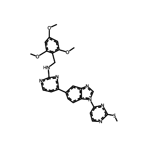 COc1cc(OC)c(CNc2nccc(-c3ccc4c(c3)ncn4-c3ccnc(SC)n3)n2)c(OC)c1